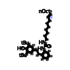 CCCCCCCC/C=C/CCCCCCCNC(=O)Nc1ccccc1CCc1cc(C(C)(C)C)c(O)c(C(C)(C)C)c1